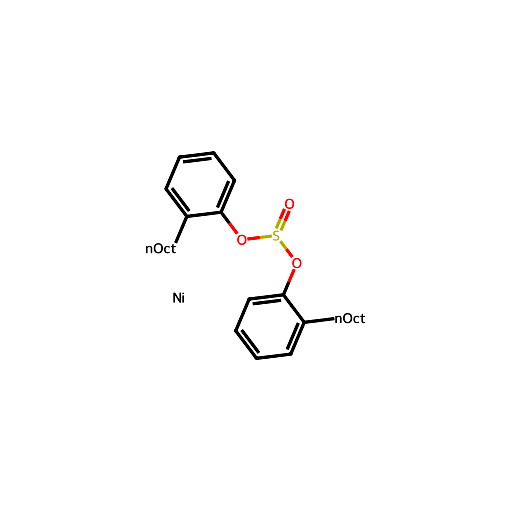 CCCCCCCCc1ccccc1OS(=O)Oc1ccccc1CCCCCCCC.[Ni]